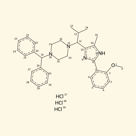 COc1ccccc1-c1nc(C(C(C)C)N2CCN(C(c3ccccc3)c3ccccc3)CC2)c(C)[nH]1.Cl.Cl.Cl